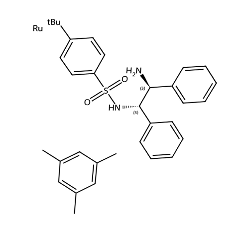 CC(C)(C)c1ccc(S(=O)(=O)N[C@@H](c2ccccc2)[C@@H](N)c2ccccc2)cc1.Cc1cc(C)cc(C)c1.[Ru]